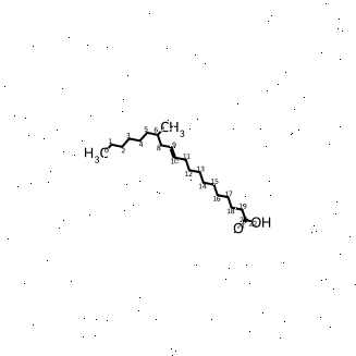 CCCCCCC(C)CC=CCCCCCCCCCC(=O)O